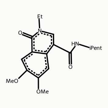 CCCC(C)NC(=O)c1cn(CC)c(=O)c2cc(OC)c(OC)cc12